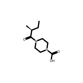 CC[C@H](C)C(=O)N1CCN(C(=O)O)CC1